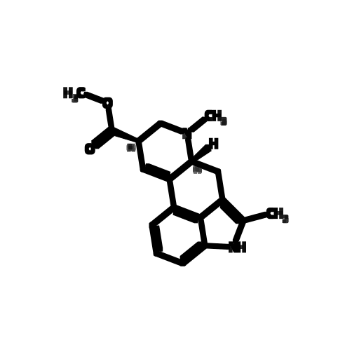 COC(=O)[C@@H]1C=C2c3cccc4[nH]c(C)c(c34)C[C@H]2N(C)C1